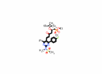 CCOP(=O)(C[C@@H](CC(=O)/C=C/c1c(-c2ccc(F)cc2)nc(N(C)S(C)(=O)=O)nc1C(C)C)O[Si](C)(C)C(C)(C)C)OCC